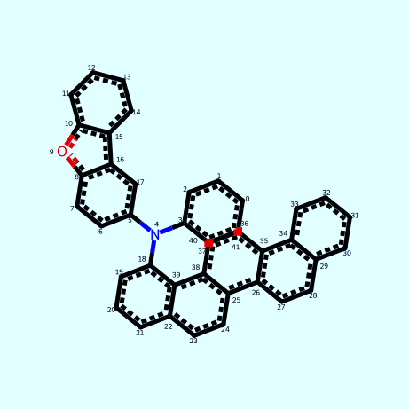 c1ccc(N(c2ccc3oc4ccccc4c3c2)c2cccc3ccc4c5ccc6ccccc6c5ccc4c23)cc1